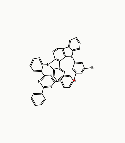 Brc1cc(Br)cc(-n2c3ccccc3c3ccc4c(c5ccccc5n4-c4ccccc4-c4nc(-c5ccccc5)nc(-c5ccccc5)n4)c32)c1